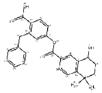 CC1(C)CCC(O)c2cc(C(=O)Oc3ccc(C(=O)O)c(Cc4ccccc4)c3)ccc21